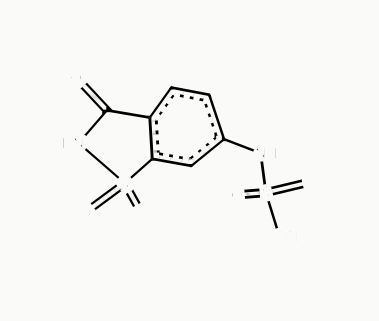 O=C1NS(=O)(=O)c2cc(NS(=O)(=O)C(Cl)(Cl)Cl)ccc21